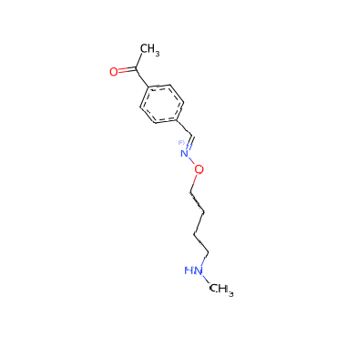 CNCCCCO/N=C/c1ccc(C(C)=O)cc1